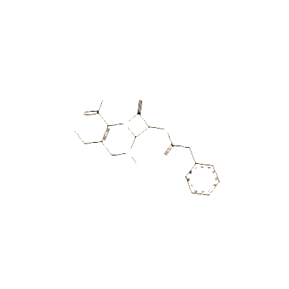 O=C(Cc1ccccc1)NC1C(=O)N2C(C(=O)O)=C(CCl)C[S+]([O-])[C@H]12